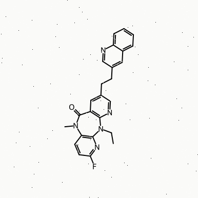 CCN1c2ncc(CCc3cnc4ccccc4c3)cc2C(=O)N(C)c2ccc(F)nc21